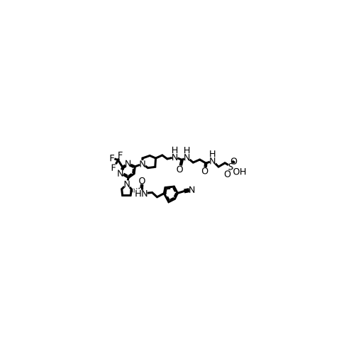 N#Cc1ccc(CCNC(=O)[C@@H]2CCCN2c2cc(N3CCC(CCNC(=O)NCCC(=O)NCCS(=O)(=O)O)CC3)nc(C(F)(F)F)n2)cc1